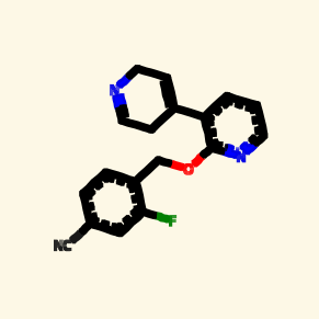 N#Cc1ccc(COc2ncccc2C2=CCN=CC2)c(F)c1